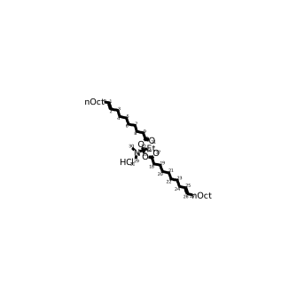 CCCCCCCCC=CCCCCCCCC(=O)OC(CC)(OC(=O)CCCCCCCC=CCCCCCCCC)N(C)C.Cl